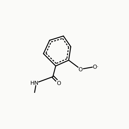 CNC(=O)c1ccccc1O[O]